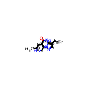 CC(C)Cc1cnn2c3c(c(=O)[nH]c12)CC(C)NC3